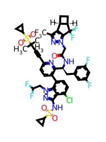 CC(C)(C#Cc1ccc(-c2ccc(Cl)c3c(NS(=O)(=O)C4CC4)nn(CC(F)F)c23)c([C@H](Cc2cc(F)cc(F)c2)NC(=O)Cn2nc(C(F)(F)F)c3c2C(F)(F)[C@@H]2CC[C@H]32)n1)S(=O)(=O)C1CC1